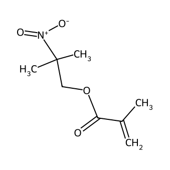 C=C(C)C(=O)OCC(C)(C)[N+](=O)[O-]